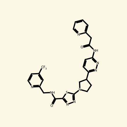 O=C(Cc1ccccn1)Nc1ccc(C2CCN(c3nnc(C(=O)NCc4cc(C(F)(F)F)ccn4)s3)C2)nn1